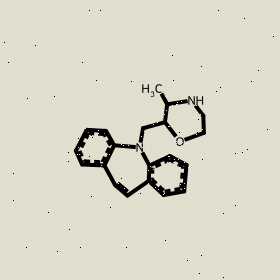 CC1NCCOC1CN1c2ccccc2C=Cc2ccccc21